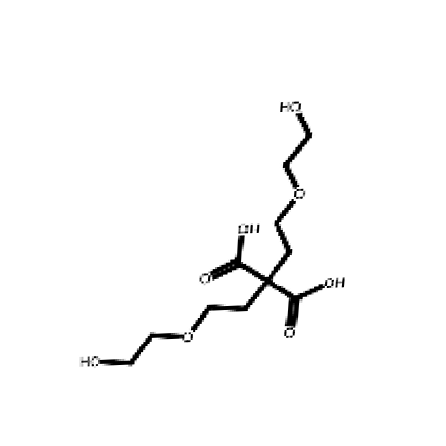 O=C(O)C(CCOCCO)(CCOCCO)C(=O)O